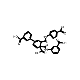 O=C(O)c1ccc(NC(=O)C2C=C(c3cccc(C(=O)O)c3)C=CC2(C(=O)O)C(=O)Nc2cccc(C(=O)O)c2)cc1